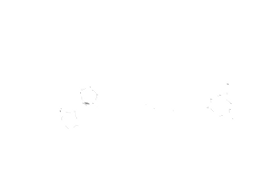 CCn1c(SCCCNCCCC2CCc3ccc(Br)cc3C2)nnc1-c1cccn1C